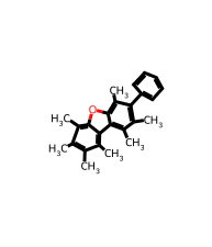 Cc1c(C)c(C)c2c(oc3c(C)c(-c4ccccc4)c(C)c(C)c32)c1C